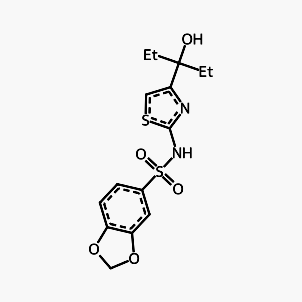 CCC(O)(CC)c1csc(NS(=O)(=O)c2ccc3c(c2)OCO3)n1